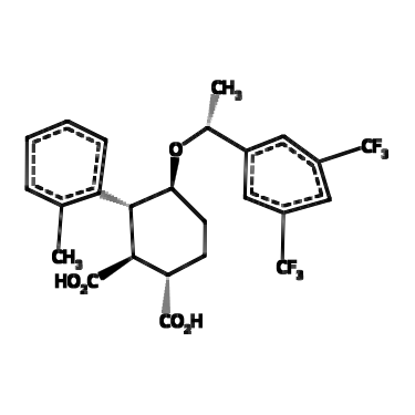 Cc1ccccc1[C@H]1[C@H](C(=O)O)[C@@H](C(=O)O)CC[C@@H]1O[C@H](C)c1cc(C(F)(F)F)cc(C(F)(F)F)c1